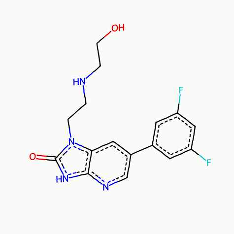 O=c1[nH]c2ncc(-c3cc(F)cc(F)c3)cc2n1CCNCCO